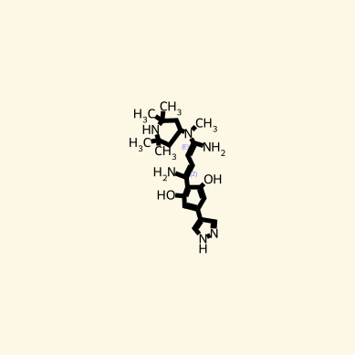 CN(/C(N)=C/C=C(\N)c1c(O)cc(-c2cn[nH]c2)cc1O)C1CC(C)(C)NC(C)(C)C1